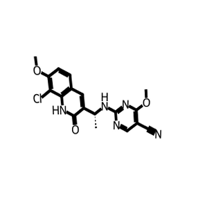 COc1ccc2cc([C@@H](C)Nc3ncc(C#N)c(OC)n3)c(=O)[nH]c2c1Cl